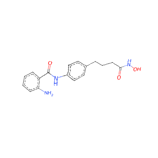 Nc1ccccc1C(=O)Nc1ccc(CCCC(=O)NO)cc1